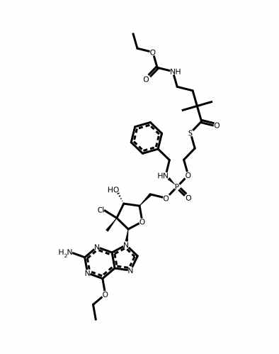 CCOC(=O)NCCC(C)(C)C(=O)SCCO[P@@](=O)(NCc1ccccc1)OC[C@H]1O[C@@H](n2cnc3c(OCC)nc(N)nc32)[C@](C)(Cl)[C@@H]1O